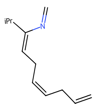 C=CC/C=C\CC=C(N=C)C(C)C